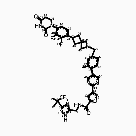 CC(C)(c1n[nH]c(CNC(=O)c2cc(-c3ncc(-c4ccc(CN5CC6(CC(c7ccc(N8CCC(=O)NC8=O)c(F)c7F)C6)C5)cc4F)cn3)no2)n1)C(F)(F)F